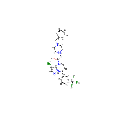 O=C(CN1CCN(Cc2ccccc2)CC1)N1CC=C(c2cccc(C(F)(F)F)c2)n2ncc(Br)c21